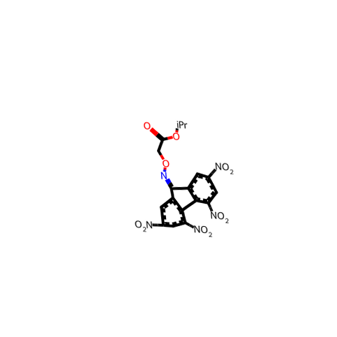 CC(C)OC(=O)CON=C1c2cc([N+](=O)[O-])cc([N+](=O)[O-])c2-c2c1cc([N+](=O)[O-])cc2[N+](=O)[O-]